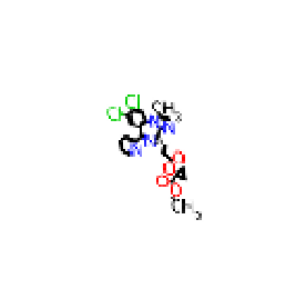 CCOC(=O)C1(OC(=O)CC[C@@H]2N=C(c3ccccn3)c3cc(Cl)c(Cl)cc3-n3c(C)cnc32)CC1